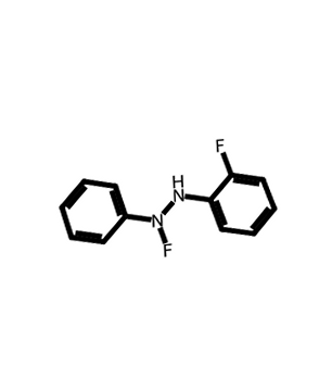 Fc1ccccc1NN(F)c1ccccc1